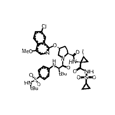 COc1cnc(O[C@@H]2C[C@@H](C(=O)N[C@]3(C(=O)NS(=O)(=O)C4CC4)C[C@H]3I)N(C(=O)C(Nc3ccc(S(=O)(=O)NC(C)(C)C)cc3)C(C)(C)C)C2)c2cc(Cl)ccc12